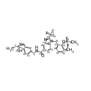 CCS(S)(S)c1ccc(CNC(=O)c2ccc3c(c2)nc(C2(F)CC2)n3Cc2cccc(C)c2OC(C)(F)F)cc1